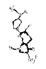 CCn1cc(C(=O)O)c(=O)c2cc(F)c(N3CCC(N(C)C(C)=O)C3)nc21